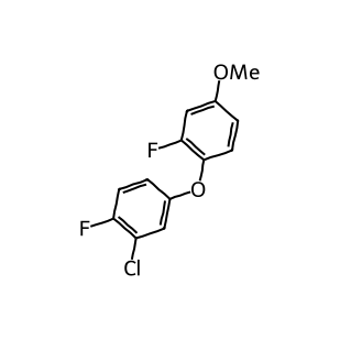 COc1ccc(Oc2ccc(F)c(Cl)c2)c(F)c1